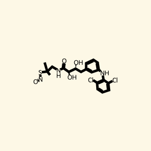 CC(C)(CNC(=O)[C@H](O)[C@H](O)Cc1cccc(Nc2c(Cl)cccc2Cl)c1)SN=O